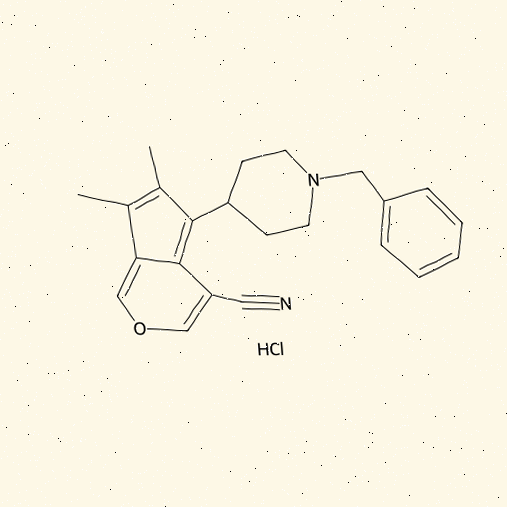 Cc1c2cocc(C#N)c-2c(C2CCN(Cc3ccccc3)CC2)c1C.Cl